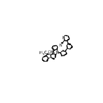 CC1(C)c2ccccc2-c2ccc3c(c21)c1ccccc1n3-c1cccc(-c2cccc(-c3cccnc3C#N)c2)c1